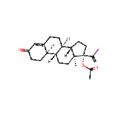 C=C(I)[C@]1(OC(C)=O)CC[C@H]2[C@@H]3CCC4=CC(=O)CC[C@@H]4[C@H]3CC[C@@]21C